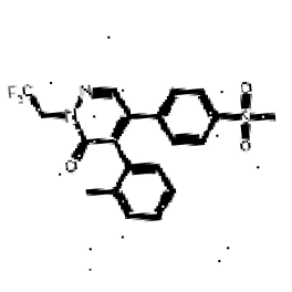 Cc1ccccc1-c1c(-c2ccc(S(C)(=O)=O)cc2)cnn(CC(F)(F)F)c1=O